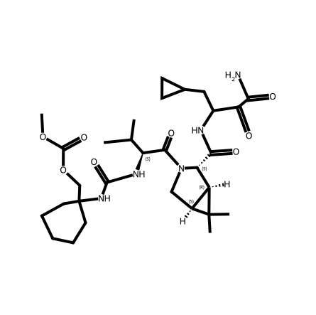 COC(=O)OCC1(NC(=O)N[C@H](C(=O)N2C[C@H]3[C@@H]([C@H]2C(=O)NC(CC2CC2)C(=O)C(N)=O)C3(C)C)C(C)C)CCCCC1